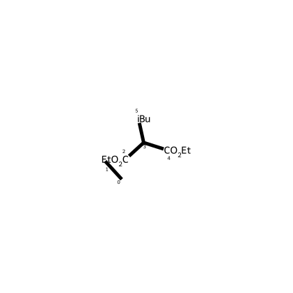 CC.CCOC(=O)C(C(=O)OCC)C(C)CC